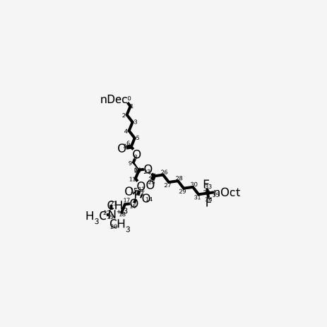 CCCCCCCCCCCCCCCC(=O)OC[C@H](COP(=O)([O-])OCC[N+](C)(C)C)OC(=O)CCCCCCC(F)(F)CCCCCCCC